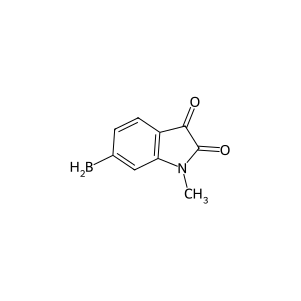 Bc1ccc2c(c1)N(C)C(=O)C2=O